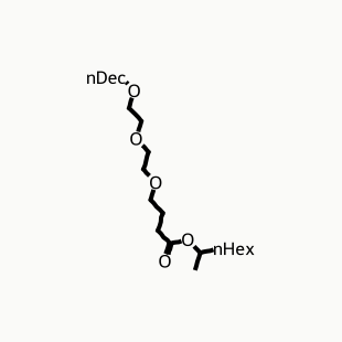 CCCCCCCCCCOCCOCCOCCCC(=O)OC(C)CCCCCC